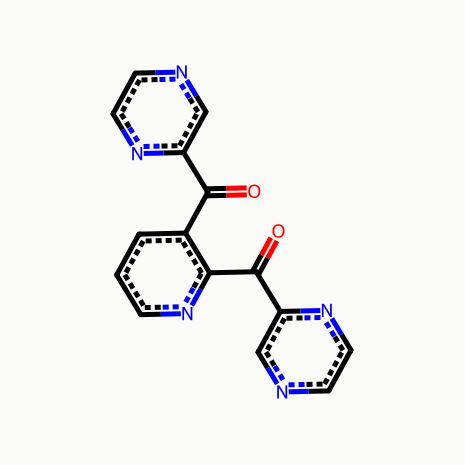 O=C(c1cnccn1)c1cccnc1C(=O)c1cnccn1